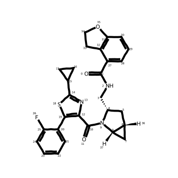 O=C(NC[C@@H]1C[C@@H]2C[C@@H]2N1C(=O)c1nc(C2CC2)sc1-c1ccccc1F)c1cccc2c1CCO2